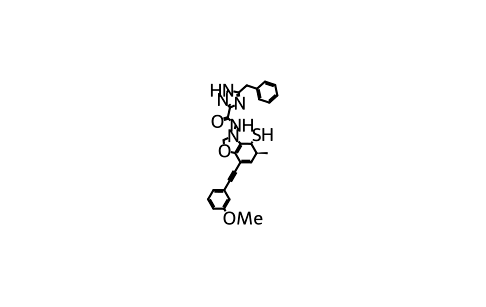 COc1cccc(C#CC2=C[C@H](C)[C@H](S)C3=C2OCN3NC(=O)c2n[nH]c(Cc3ccccc3)n2)c1